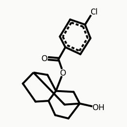 O=C(OC12CC3CCC1CCC(O)(C3)C2)c1ccc(Cl)cc1